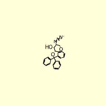 [N-]=[N+]=N[C@H]1COC[C@H](OC(c2ccccc2)(c2ccccc2)c2ccccc2)[C@@H]1O